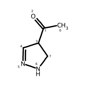 CC(=O)C1C=NNC1